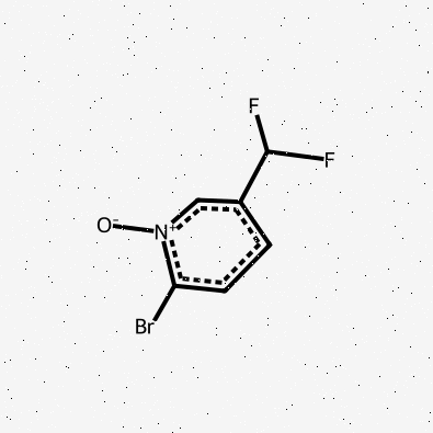 [O-][n+]1cc(C(F)F)ccc1Br